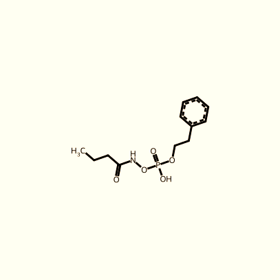 CCCC(=O)NOP(=O)(O)OCCc1ccccc1